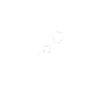 Oc1cnc(N2CC(O)C2)nc1